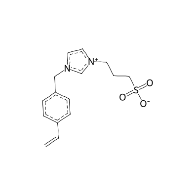 C=Cc1ccc(Cn2cc[n+](CCCS(=O)(=O)[O-])c2)cc1